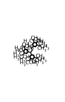 CC(CC(c1cc(C(C)(C)C)c(O)c(C(C)(C)C)c1)c1cc(C(C)(C)C)c(O)c(C(C)(C)C)c1)c1cc(C(C)(C)C)c(O)c(C(C)(C)C)c1